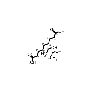 CCO.CCO.O=C(O)CCCCCCCC(=O)O